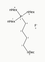 CCCCCCCCCCCCCC[P+](CCCCCC)(CCCCCC)CCCCCC.[F-]